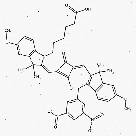 COc1ccc2c(c1)C(C)(C)C(=CC1=C(O)C(=CC3=[N+](Cc4cc([N+](=O)[O-])cc([N+](=O)[O-])c4)c4ccc(OC)cc4C3(C)C)C1=O)N2CCCCCC(=O)O